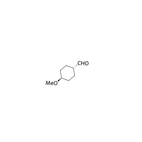 CO[C@H]1CC[C@H](C=O)CC1